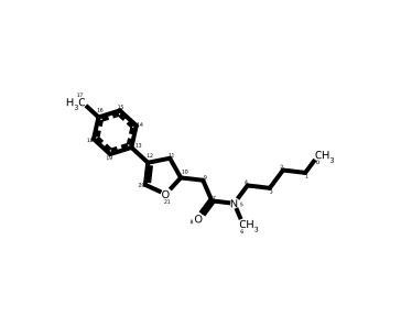 CCCCCN(C)C(=O)CC1CC(c2ccc(C)cc2)=CO1